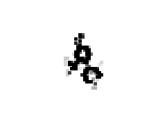 COc1ccc([C@H]2CCNC[C@H]2C)c(C(F)(F)F)c1